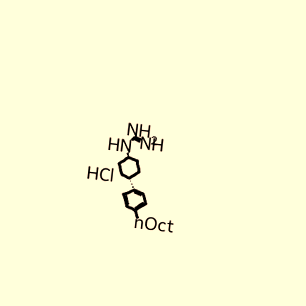 CCCCCCCCc1ccc([C@H]2CC[C@H](NC(=N)N)CC2)cc1.Cl